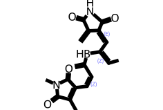 C=C(BC(=C/C)/C=C1\C(=C)C(=O)NC1=O)/C=C\C1=C(C)C(=O)N(C)C1=O